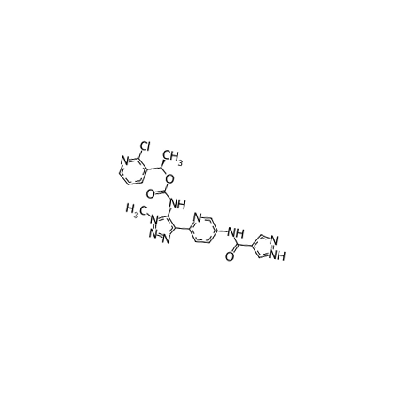 C[C@@H](OC(=O)Nc1c(-c2ccc(NC(=O)c3cn[nH]c3)cn2)nnn1C)c1cccnc1Cl